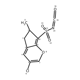 CC1CC2=CC(Cl)=COC2=C1S(=O)(=O)N=C=O